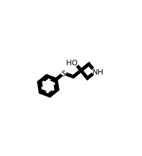 OC1(CSc2ccccc2)CNC1